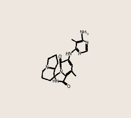 Cc1cc(Nc2ncnc(N)c2C)c(=O)n2c1C(=O)NC21CCCN2CCCC21